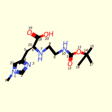 Cn1cnc(C[C@H](NCCNC(=O)OC(C)(C)C)C(=O)O)c1